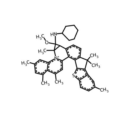 COC1(NC2CCCCC2)C2c3ccc4c(c3-c3cc(C)c5c(C)cc(C)cc5[n+]3C21C)-c1sc2ccc(C)cc2c1C4(C)C